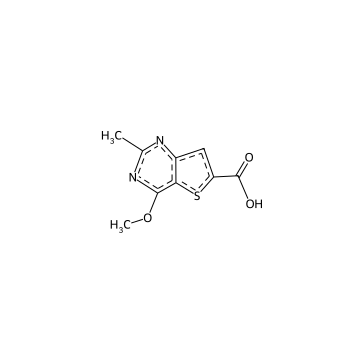 COc1nc(C)nc2cc(C(=O)O)sc12